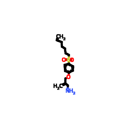 C=CCCCCCS(=O)(=O)c1ccc(OCC(=C)CN)cc1